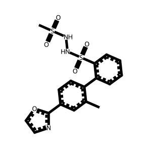 Cc1cc(-c2ncco2)ccc1-c1ccccc1S(=O)(=O)NNS(C)(=O)=O